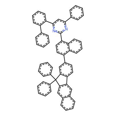 c1ccc(-c2cc(-c3ccccc3-c3ccccc3)nc(-c3ccc(-c4ccc5c(c4)C(c4ccccc4)(c4ccccc4)c4cc6ccccc6cc4-5)c4ccccc34)n2)cc1